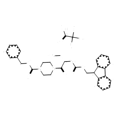 NC[C@H](NC(=O)OCC1c2ccccc2-c2ccccc21)C(=O)N1CCN(C(=O)OCc2ccccc2)CC1.O=C(O)C(F)(F)F